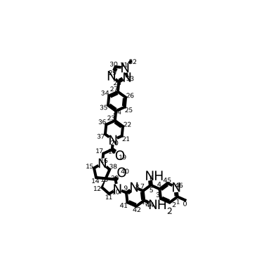 Cc1ccc(C(=N)c2nc(N3CC[C@]4(CCN(CC(=O)N5CC=C(c6ccc(-c7ncn(C)n7)cc6)CC5)C4)C3=O)ccc2N)cn1